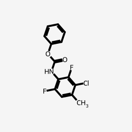 Cc1cc(F)c(NC(=O)Oc2ccccc2)c(F)c1Cl